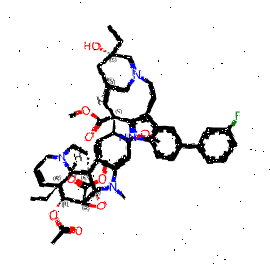 CC[C@]1(O)C[C@H]2CN(CCc3c([nH]c4ccc(-c5cccc(F)c5)cc34)[C@@](C(=O)OC)(C3C=C4C(=CC3OC)N(C)[C@@]35O[C@]3(C(=O)OC)[C@H](OC(C)=O)[C@]3(CC)C=CCN6CC[C@]45[C@@H]63)C2)C1